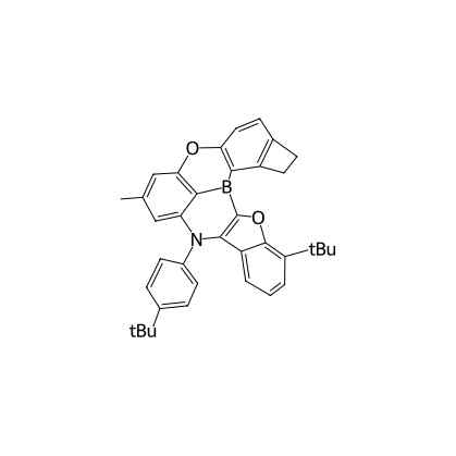 Cc1cc2c3c(c1)N(c1ccc(C(C)(C)C)cc1)c1c(oc4c(C(C)(C)C)cccc14)B3c1c(ccc3c1CC3)O2